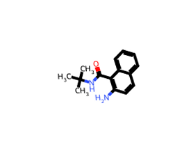 CC(C)(C)NC(=O)c1c(N)ccc2ccccc12